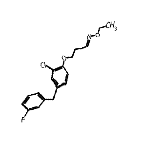 CCON=CCCOc1ccc(Cc2cccc(F)c2)cc1Cl